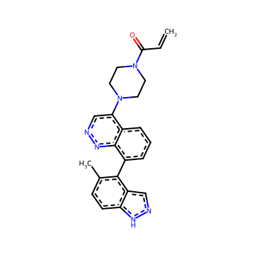 C=CC(=O)N1CCN(c2cnnc3c(-c4c(C)ccc5[nH]ncc45)cccc23)CC1